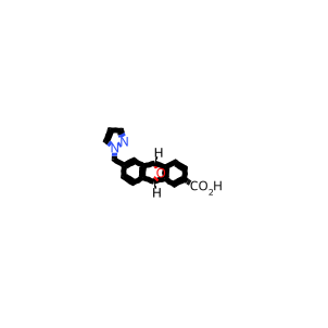 O=C(O)c1ccc2c(c1)[C@@H]1O[C@H]2c2cc(Cn3cccn3)ccc21